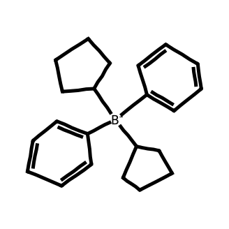 c1ccc([B-](c2ccccc2)(C2CCCC2)C2CCCC2)cc1